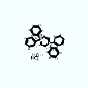 C1=CP(c2ccccc2)(c2ccccc2)=CC=P1(c1ccccc1)c1ccccc1.Cl.Cl